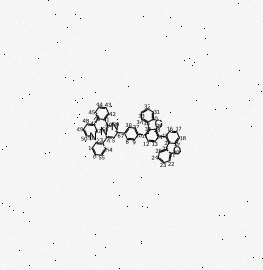 c1ccc(-c2cc(-c3ccc(-c4ccc(-c5cccc6oc7ccccc7c56)c5oc6ccccc6c45)cc3)nc(-c3ccccc3-c3cccnc3)n2)cc1